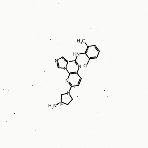 Cc1cccc(Cl)c1Nc1nc2ccc(N3CC[C@@H](N)C3)nc2n2cncc12